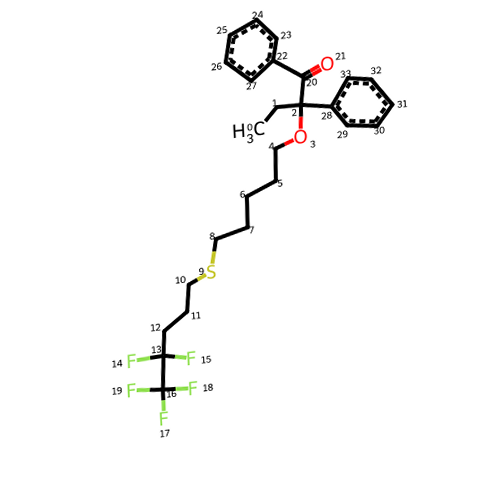 CCC(OCCCCCSCCCC(F)(F)C(F)(F)F)(C(=O)c1ccccc1)c1ccccc1